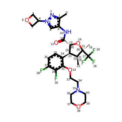 Cc1nn(C2COC2)cc1NC(=O)[C@@H]1O[C@@](C)(C(F)(F)F)[C@@H](C)[C@H]1c1ccc(F)c(F)c1OCCN1CCOCC1